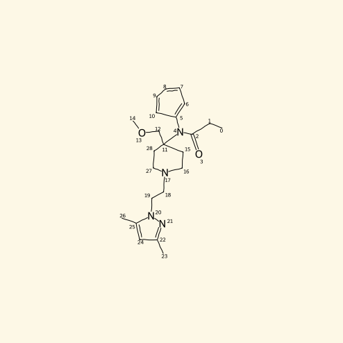 CCC(=O)N(c1ccccc1)C1(COC)CCN(CCn2nc(C)cc2C)CC1